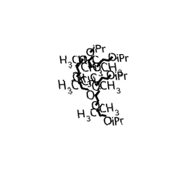 CC(C)OCCC(C)(C)OCC(COC(C)(C)CCOC(C)C)OCCC(C)(C)OCCC(C)(C)OC(COC(C)C)COC(C)(C)CCOC(C)C